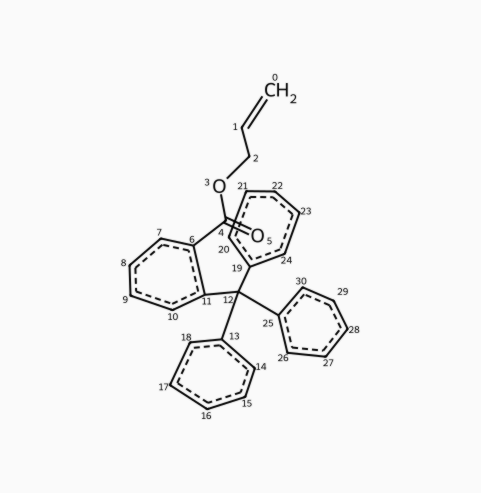 C=CCOC(=O)c1ccccc1C(c1ccccc1)(c1ccccc1)c1ccccc1